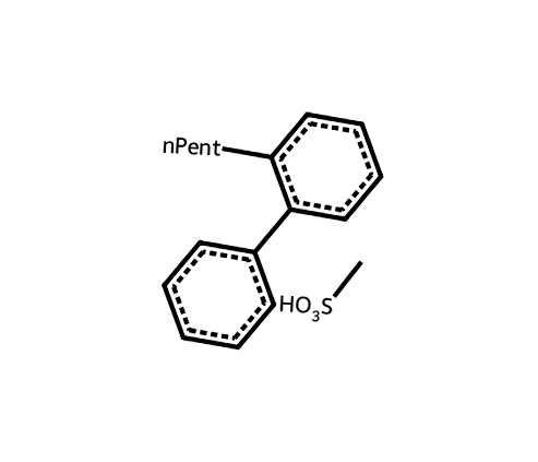 CCCCCc1ccccc1-c1ccccc1.CS(=O)(=O)O